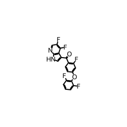 O=C(c1ccc(Oc2c(F)cccc2F)cc1F)c1c[nH]c2ncc(F)c(F)c12